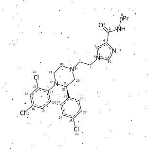 CCCNC(=O)c1cn(CCN2CCN(c3ccc(Cl)cc3Cl)[C@H](c3ccc(Cl)cc3)C2)cn1